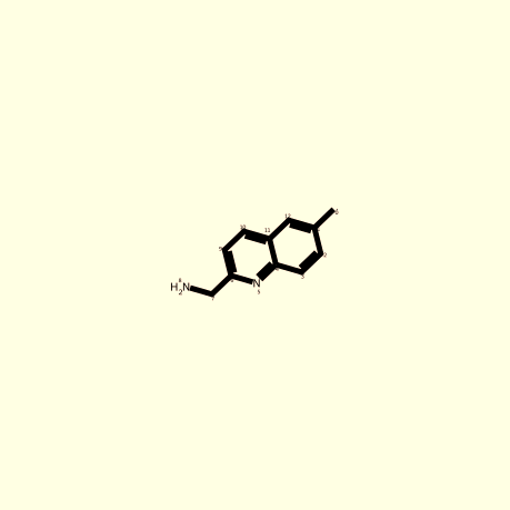 [CH2]c1ccc2nc(CN)ccc2c1